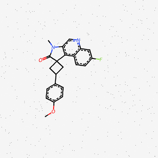 COc1ccc(C2CC3(C2)C(=O)N(C)c2cnc4cc(F)ccc4c23)cc1